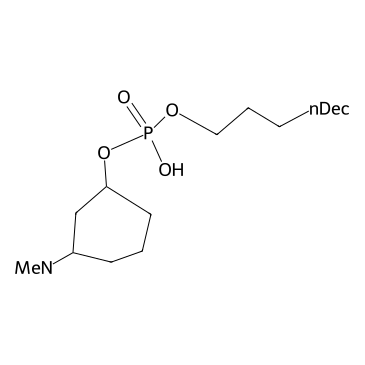 CCCCCCCCCCCCCOP(=O)(O)OC1CCCC(NC)C1